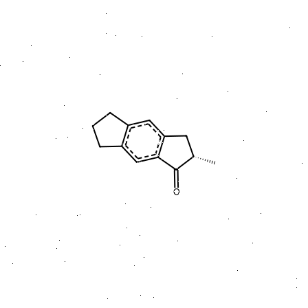 C[C@H]1Cc2cc3c(cc2C1=O)CCC3